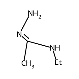 CCN/C(C)=N\N